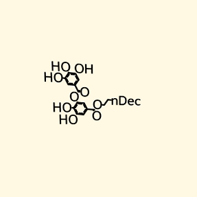 CCCCCCCCCCCCOC(=O)c1cc(O)c(O)c(OC(=O)c2cc(O)c(O)c(O)c2)c1